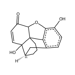 O=C1C=CC2(O)[C@@H]3CCCC24c2c(ccc(O)c2OC14)C3